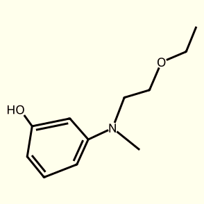 CCOCCN(C)c1cccc(O)c1